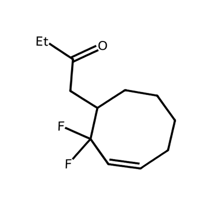 CCC(=O)CC1CCCC/C=C\C1(F)F